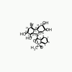 CS(=O)(=O)c1ccccc1C(=O)n1c2cc(O)c(O)cc2c2c(Br)cc(O)c(O)c21